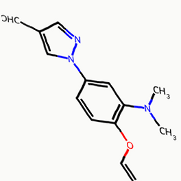 C=COc1ccc(-n2cc(C=O)cn2)cc1N(C)C